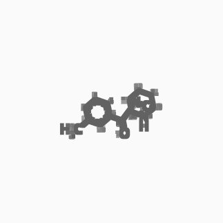 Cc1cccc(C(=O)N2CC3CCC2CN3)c1